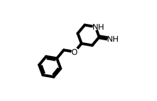 N=C1CC(OCc2ccccc2)CCN1